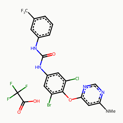 CNc1cc(Oc2c(Cl)cc(NC(=O)Nc3cccc(C(F)(F)F)c3)cc2Br)ncn1.O=C(O)C(F)(F)F